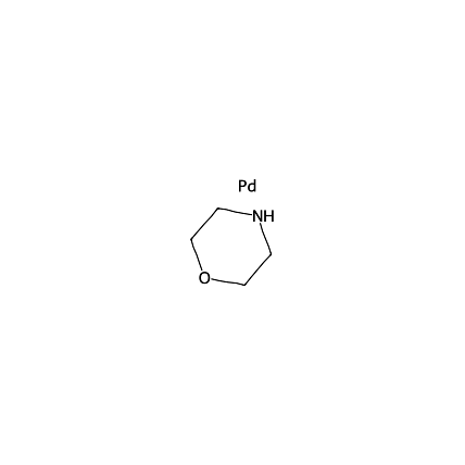 C1COCCN1.[Pd]